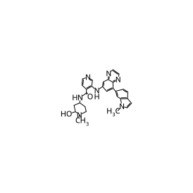 CN1CCC(NC(=O)c2ccncc2Nc2cc(-c3ccc4ccn(C)c4c3)c3nccnc3c2)CC1O